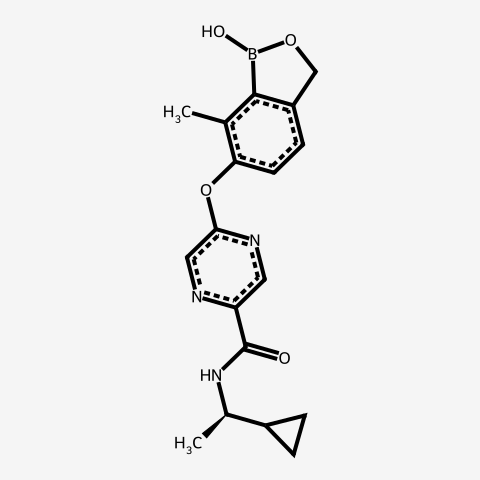 Cc1c(Oc2cnc(C(=O)N[C@H](C)C3CC3)cn2)ccc2c1B(O)OC2